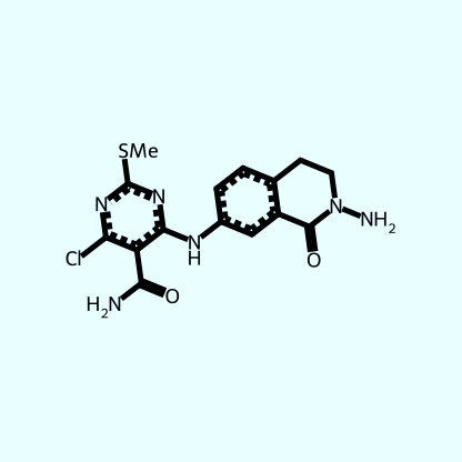 CSc1nc(Cl)c(C(N)=O)c(Nc2ccc3c(c2)C(=O)N(N)CC3)n1